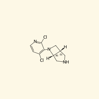 Clc1ccnc(Cl)c1N1C[C@@H]2CNC[C@@H]21